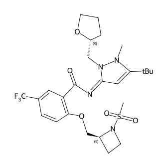 Cn1c(C(C)(C)C)cc(=NC(=O)c2cc(C(F)(F)F)ccc2OC[C@@H]2CCN2S(C)(=O)=O)n1C[C@H]1CCCO1